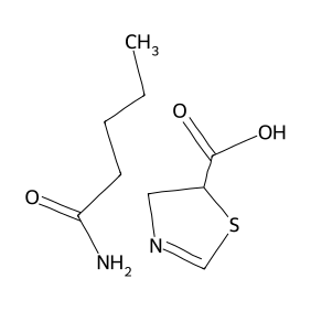 CCCCC(N)=O.O=C(O)C1CN=CS1